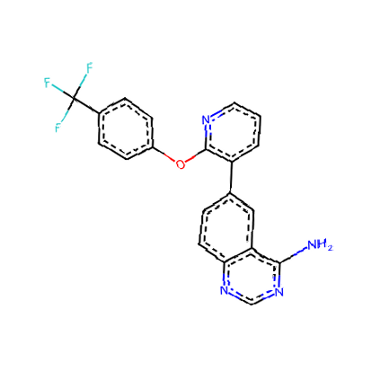 Nc1ncnc2ccc(-c3cccnc3Oc3ccc(C(F)(F)F)cc3)cc12